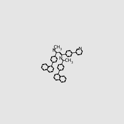 C\N=C(/C=C(\N=C(/C)c1ccc(-c2cccc3ccccc23)cc1)c1ccc(-c2cccnc2)cc1)c1ccc(-c2cccc3ccccc23)cc1